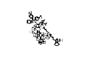 COC(=O)C1OC(OC(=O)N(CCCCCOP(OC2C(OC)[C@H](n3ccc(=O)[nH]c3=O)O[C@@H]2COC(c2ccccc2)(c2ccc(OC)cc2)c2ccc(OC)cc2)N(C(C)C)C(C)C)CCCCc2c[nH]c3ccccc23)C(OC(C)=O)C(OC(C)=O)C1OC(C)=O